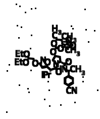 CCOC(COc1cc([C@H](C(=O)N2C[C@H](OC(=O)OC(C)C(C)SS(C)(=O)=O)C[C@H]2C(=O)N[C@@H](C)c2ccc(C#N)cc2)C(C)C)on1)OCC